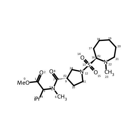 COC(=O)C(C(C)C)N(C)C(=O)[C@H]1CCN(S(=O)(=O)[C@H]2CCCCCN2C)C1